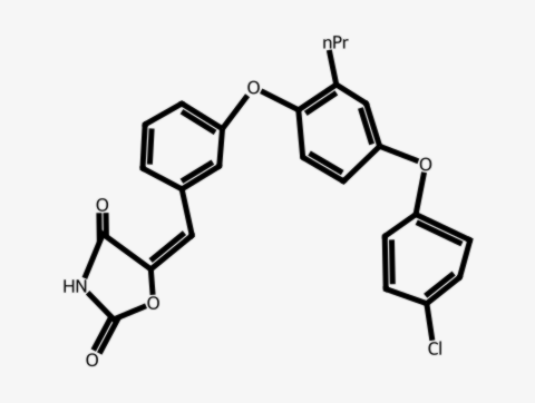 CCCc1cc(Oc2ccc(Cl)cc2)ccc1Oc1cccc(/C=C2/OC(=O)NC2=O)c1